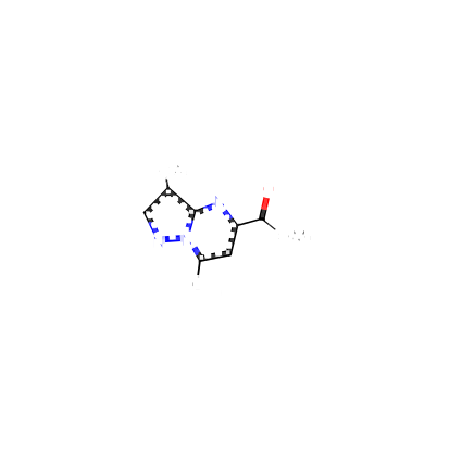 COC(=O)c1cc(C)n2ncc(OC(C)=O)c2n1